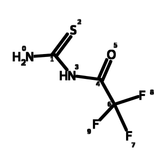 NC(=S)NC(=O)C(F)(F)F